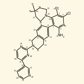 CCc1c(Cl)nc(N)c(-c2ccc3c(c2)CCN(c2nccc(-c4cccnc4)n2)C3)c1N1CCC(C)(C)CC1